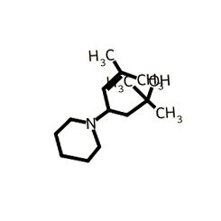 CC(C)=CC(CC(C)(C)O)N1CCCCC1